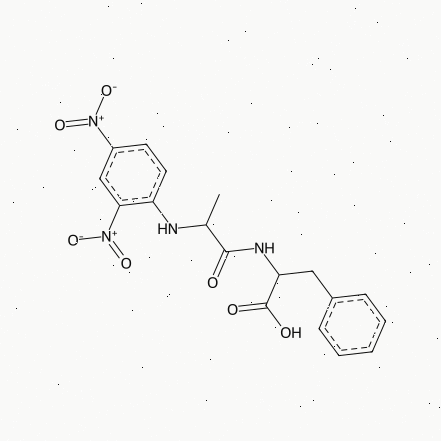 CC(Nc1ccc([N+](=O)[O-])cc1[N+](=O)[O-])C(=O)NC(Cc1ccccc1)C(=O)O